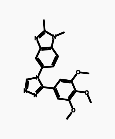 COc1cc(-c2nncn2-c2ccc3c(c2)nc(C)n3C)cc(OC)c1OC